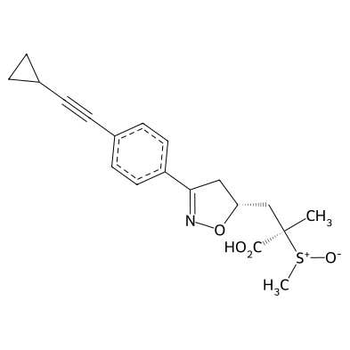 C[S+]([O-])[C@](C)(C[C@H]1CC(c2ccc(C#CC3CC3)cc2)=NO1)C(=O)O